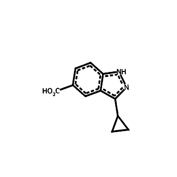 O=C(O)c1ccc2[nH]nc(C3CC3)c2c1